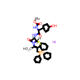 CC(C)(C)OC(=O)NC(C(=O)N[C@@H]1C(=O)N2C(C(=O)O)=C(C[PH](c3ccccc3)(c3ccccc3)c3ccccc3)CS[C@@H]12)c1ccc(O)cc1.I